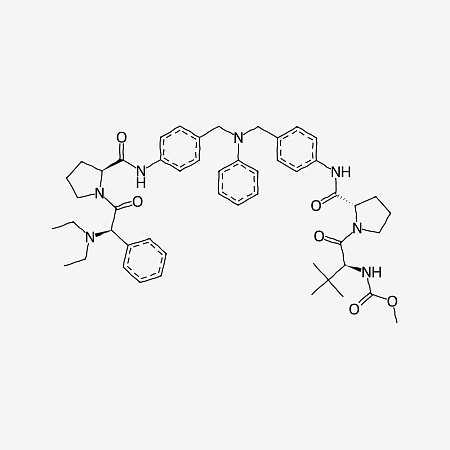 CCN(CC)[C@@H](C(=O)N1CCC[C@H]1C(=O)Nc1ccc(CN(Cc2ccc(NC(=O)[C@@H]3CCCN3C(=O)[C@@H](NC(=O)OC)C(C)(C)C)cc2)c2ccccc2)cc1)c1ccccc1